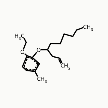 C=CCC(CCCCCC)Oc1cc(C)ccc1OCC